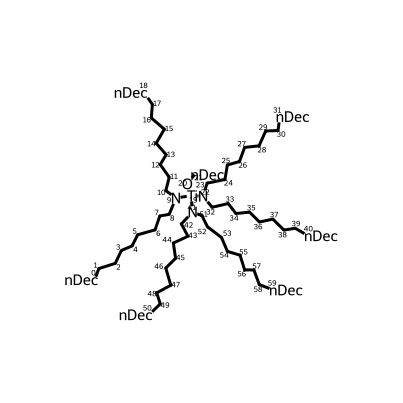 CCCCCCCCCCCCCCCCCC[N](CCCCCCCCCCCCCCCCCC)[Ti]([O]CCCCCCCCCC)([N](CCCCCCCCCCCCCCCCCC)CCCCCCCCCCCCCCCCCC)[N](CCCCCCCCCCCCCCCCCC)CCCCCCCCCCCCCCCCCC